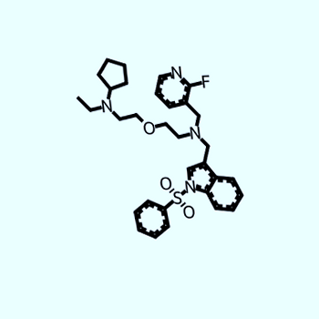 CCN(CCOCCN(Cc1cccnc1F)Cc1cn(S(=O)(=O)c2ccccc2)c2ccccc12)C1CCCC1